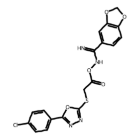 N=C(NOC(=O)CSc1nnc(-c2ccc(Cl)cc2)o1)c1ccc2c(c1)OCO2